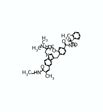 CCCNC(=O)/C(C)=C\c1ccc2c(c1)c(Cc1ccc(C(=O)NS(=O)(=O)c3ccccc3C)cc1OC)cn2CC(=O)N(C)C